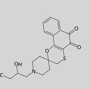 O=C1C(=O)c2ccccc2C2=C1SCC1(CCN(CC(O)CC(F)(F)F)CC1)O2